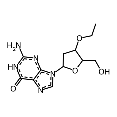 CCOC1CC(n2cnc3c(=O)[nH]c(N)nc32)OC1CO